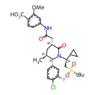 COc1cc(NC(=O)C[C@H]2C[C@H](C)[C@@H](c3ccc(Cl)c(F)c3)N([C@H](CS(=O)(=O)C(C)(C)C)C3CC3)C2=O)ccc1C(=O)O